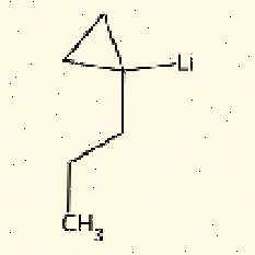 [Li][C]1(CCC)CC1